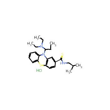 CCC(N(CC)CC)N1c2ccccc2Sc2ccc(C(=S)NCC(C)C)cc21.Cl